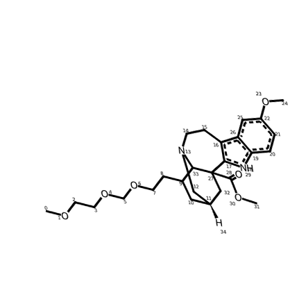 COCCOCOCCC1C[C@@H]2CN3CCc4c([nH]c5ccc(OC)cc45)C(C(=O)OC)(C2)C13